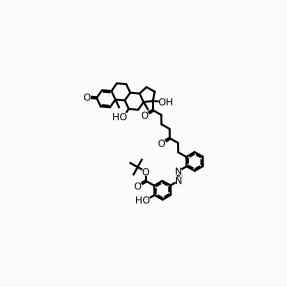 CC(C)(C)OC(=O)c1cc(/N=N/c2ccccc2CCC(=O)CCCC(=O)C2(O)CCC3C4CCC5=CC(=O)C=CC5(C)C4C(O)CC32C)ccc1O